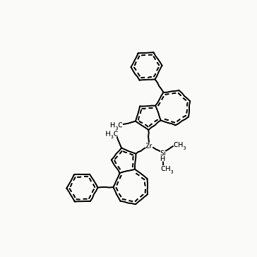 Cc1cc2c(-c3ccccc3)ccccc-2[c]1[Zr]([c]1c(C)cc2c(-c3ccccc3)ccccc1-2)[SiH](C)C